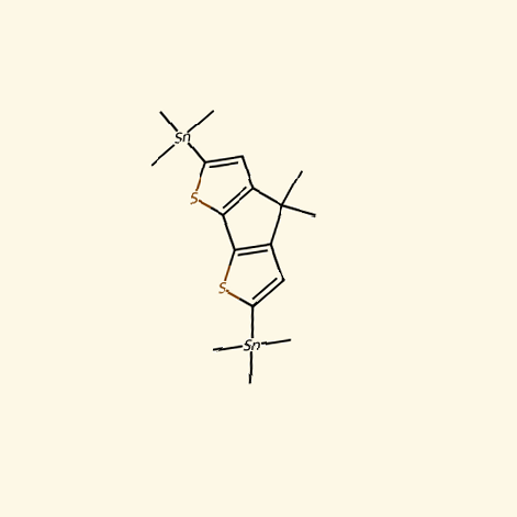 CC1(C)c2c[c]([Sn]([CH3])([CH3])[CH3])sc2-c2s[c]([Sn]([CH3])([CH3])[CH3])cc21